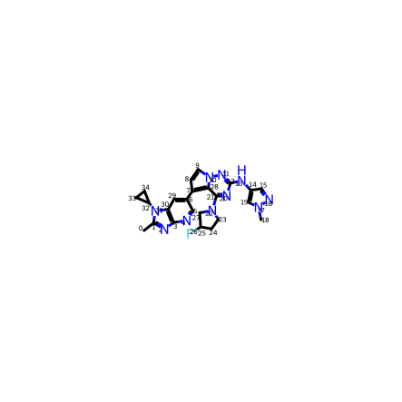 Cc1nc2ncc(-c3ccn4nc(Nc5cnn(C)c5)nc(N5CCC(F)C5)c34)cc2n1C1CC1